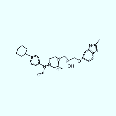 Cc1nc2cc(OC[C@H](O)CN3CCN(N(C=O)c4ccc(C5CCCCC5)cc4)C[C@@H]3C)ccc2s1